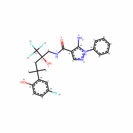 CC(C)(C[C@@](O)(CNC(=O)c1cnn(-c2ccccc2)c1N)C(F)(F)F)c1cc(F)ccc1O